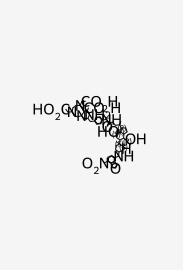 CC(CCC(=O)Nc1ccc(CC(CN2CCN(CC(=O)O)CCN(CC(=O)O)CC2)NCC(=O)O)cc1)[C@H]1CCC2C3C(C[C@H](O)[C@@]21C)[C@@]1(C)CCC(Nc2ccc([N+](=O)[O-])c4cocc24)C[C@H]1C[C@H]3O